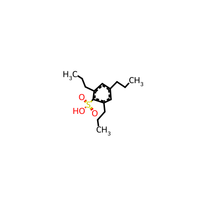 CCCc1cc(CCC)c(S(=O)(=O)O)c(CCC)c1